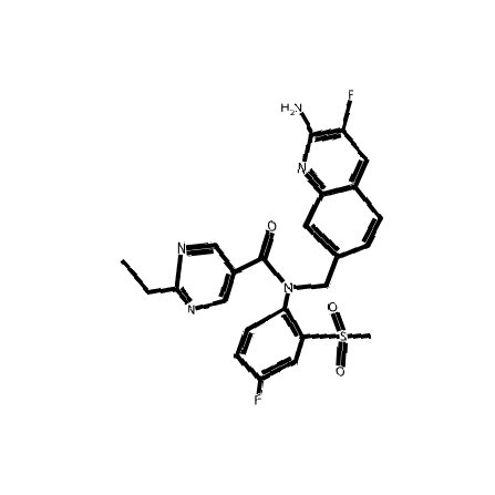 CCc1ncc(C(=O)N(Cc2ccc3cc(F)c(N)nc3c2)c2ccc(F)cc2S(C)(=O)=O)cn1